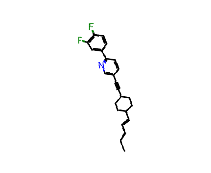 CCCC=CC1CCC(C#Cc2ccc(-c3ccc(F)c(F)c3)nc2)CC1